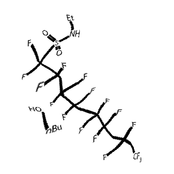 CCCCO.CCNS(=O)(=O)C(F)(F)C(F)(F)C(F)(F)C(F)(F)C(F)(F)C(F)(F)C(F)(F)C(F)(F)F